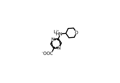 O=C([O-])c1cnc(NC2CCOCC2)cn1.[Li+]